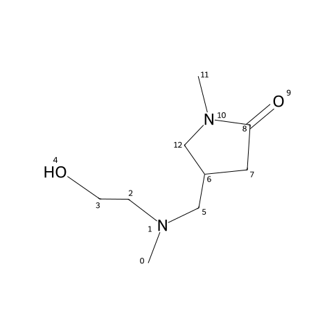 CN(CCO)CC1CC(=O)N(C)C1